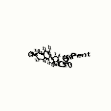 CCCCCOC(=O)OC1CCC2C3C(C)CC4=CC(=O)CCC4C3CCC12C